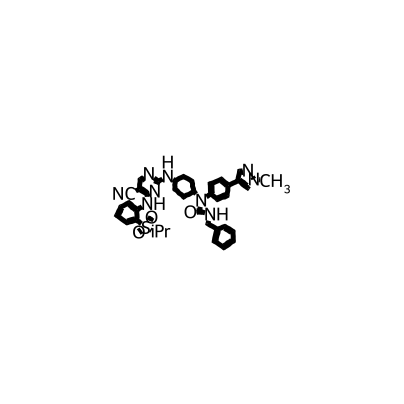 CC(C)S(=O)(=O)c1ccccc1Nc1nc(NC2CCC(N(C(=O)NCc3ccccc3)c3ccc(-c4cnn(C)c4)cc3)CC2)ncc1C#N